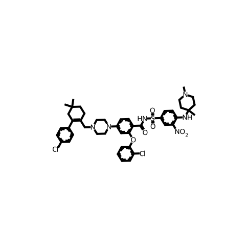 CN1CCC(C)(Nc2ccc(S(=O)(=O)NC(=O)c3ccc(N4CCN(CC5=C(c6ccc(Cl)cc6)CC(C)(C)CC5)CC4)cc3Oc3ccccc3Cl)cc2[N+](=O)[O-])CC1